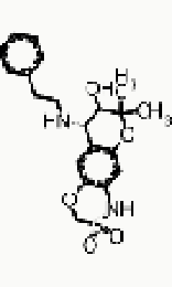 CC1(C)Oc2cc3c(cc2[C@H](NCCc2ccccc2)[C@H]1O)OCS(=O)(=O)N3